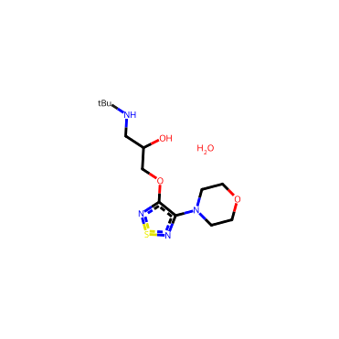 CC(C)(C)NCC(O)COc1nsnc1N1CCOCC1.O